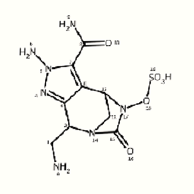 NCC1c2nn(N)c(C(N)=O)c2C2CN1C(=O)N2OS(=O)(=O)O